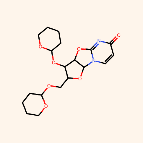 O=c1ccn2c(n1)OC1C(OC3CCCCO3)C(COC3CCCCO3)OC12